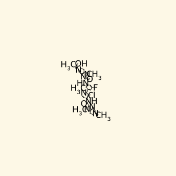 Cc1c(NC(=O)c2nc3c(n2C)CCN(C[C@H](C)O)C3)cc(F)cc1-c1nccc(NC(=O)c2nc3c(n2C)CCN(C)C3)c1Cl